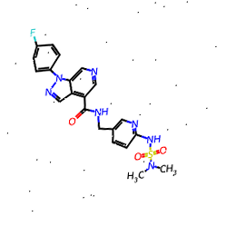 CN(C)S(=O)(=O)Nc1ccc(CNC(=O)c2cncc3c2cnn3-c2ccc(F)cc2)cn1